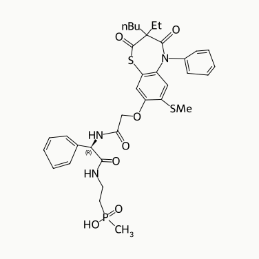 CCCCC1(CC)C(=O)Sc2cc(OCC(=O)N[C@@H](C(=O)NCCP(C)(=O)O)c3ccccc3)c(SC)cc2N(c2ccccc2)C1=O